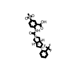 CS(=O)(=O)c1ccc(NC(=O)N2C[C@H]3C[C@H](c4ccccc4C(F)(F)F)C[C@H]3C2)c(C(=O)O)c1